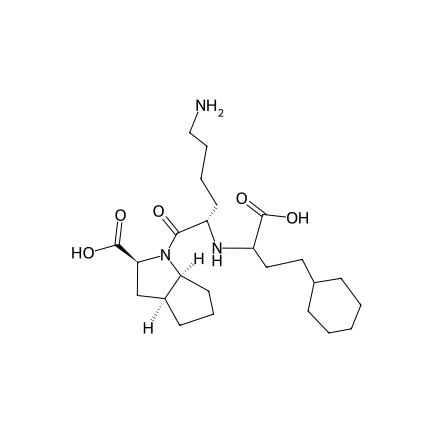 NCCCC[C@H](NC(CCC1CCCCC1)C(=O)O)C(=O)N1[C@H](C(=O)O)C[C@@H]2CCC[C@@H]21